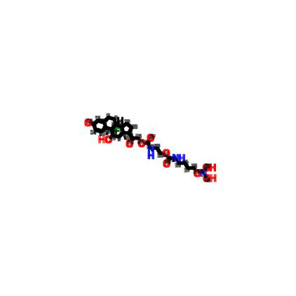 C[C@]12C[C@H](O)C3(F)[C@@H](CCC4=CC(=O)C=C[C@@]43C)C1CCC2C(=O)COC(=O)NCCOC(=O)NCCCCON(O)O